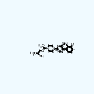 CC(O)COC(C)N1CCN(c2nnc(-c3cccc(Cl)c3Cl)c(N)n2)CC1